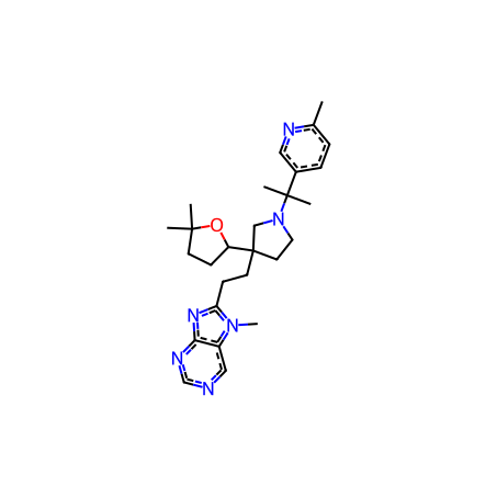 Cc1ccc(C(C)(C)N2CCC(CCc3nc4ncncc4n3C)(C3CCC(C)(C)O3)C2)cn1